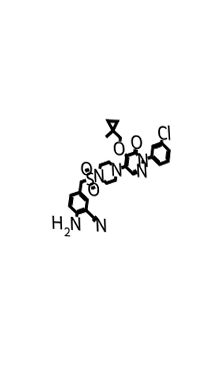 CC1(COc2c(N3CCN(S(=O)(=O)Cc4ccc(N)c(C#N)c4)CC3)cnn(-c3cccc(Cl)c3)c2=O)CC1